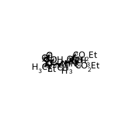 CCOC(=O)CNP(=O)(CCNC/C(C)=C/Cc1c(O)c2c(c(C)c1CC)COC2=O)N[C@@H](C)C(=O)OCC